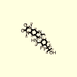 Cc1nc(N[C@H](C)c2cccc(C(F)(F)C(C)(C)O)c2F)c2cc3c(cc2n1)n(C)c(=O)c(=O)n3C